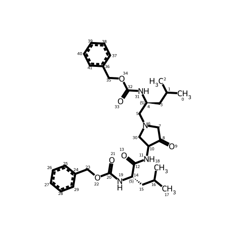 CC(C)C[C@@H](CN1CC(=O)C(NC(=O)[C@H](CC(C)C)NC(=O)OCc2ccccc2)C1)NC(=O)OCc1ccccc1